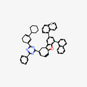 C1#Cc2oc3c(-c4cccc5ccccc45)cc(-c4cccc5ccccc45)cc3c2CC(c2nc(C3=CC(C4CCCCC4)=CCC3)nc(-c3ccccc3)n2)=C1